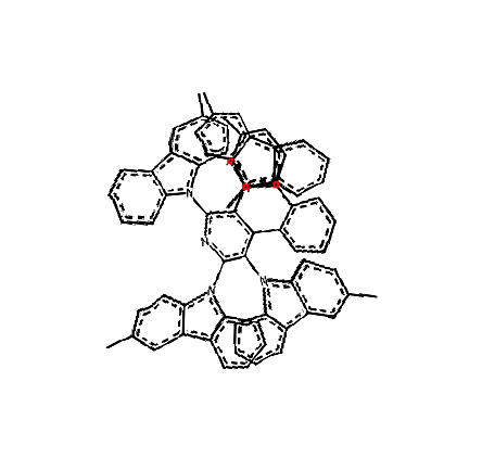 Cc1ccc2c(c1)c1ccccc1n2-c1nc(-n2c3ccccc3c3cc(C)ccc32)c(-n2c3ccccc3c3cc(C)ccc32)c(-c2ccccc2-c2ccc(C)nc2C)c1-n1c2ccccc2c2cc(C)ccc21